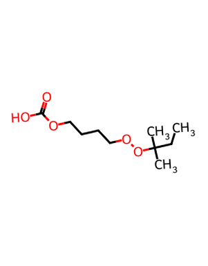 CCC(C)(C)OOCCCCOC(=O)O